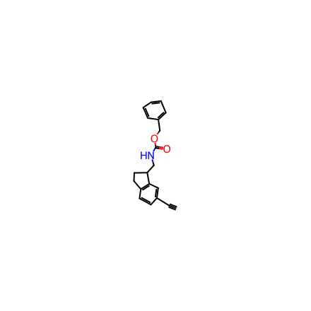 C#Cc1ccc2c(c1)C(CNC(=O)OCc1ccccc1)CC2